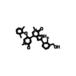 Cc1cccc(C)c1Oc1cn(C)c(=O)cc1-c1cn(C)c(=O)c2[nH]c(-c3cccc(CO)c3F)cc12